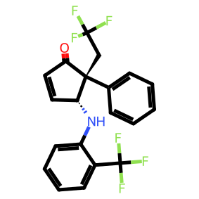 O=C1C=C[C@@H](Nc2ccccc2C(F)(F)F)[C@@]1(CC(F)(F)F)c1ccccc1